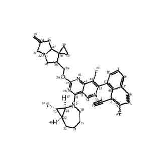 C#Cc1c(F)ccc2cccc(-c3ncc4c(N5CCCC[C@H]6[C@H](F)[C@H]65)nc(OCC5CN6CC(=C)CC6C56CC6)nc4c3F)c12